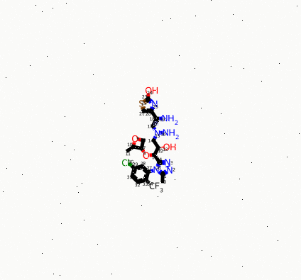 Cc1nnc(C(OC2COC2C)[C@@H](O)CN(N)/C=C(\N)c2csc(O)n2)n1-c1cc(Cl)ccc1C(F)(F)F